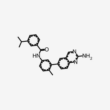 Cc1ccc(NC(=O)c2cccc(C(C)C)c2)cc1-c1ccc2nc(N)ncc2c1